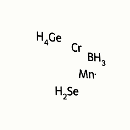 B.[Cr].[GeH4].[Mn].[SeH2]